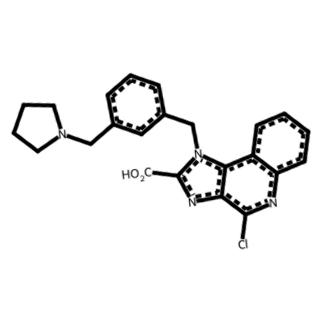 O=C(O)c1nc2c(Cl)nc3ccccc3c2n1Cc1cccc(CN2CCCC2)c1